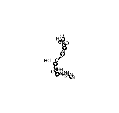 C[C@@H](NC(=O)c1cccc(NCc2nnc(-c3ccncn3)n2C)c1)c1ccc(OCCCN2CCN(c3ccc4c(c3)CN(C3CCC(=O)NC3=O)C4=O)CC2)cc1.Cl